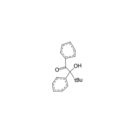 CC(C)(C)C(O)(C(=O)c1ccccc1)c1ccccc1